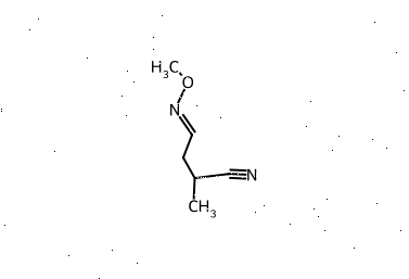 CON=CCC(C)C#N